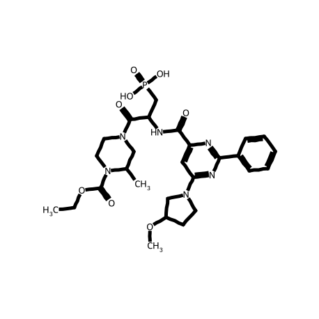 CCOC(=O)N1CCN(C(=O)C(CP(=O)(O)O)NC(=O)c2cc(N3CCC(OC)C3)nc(-c3ccccc3)n2)CC1C